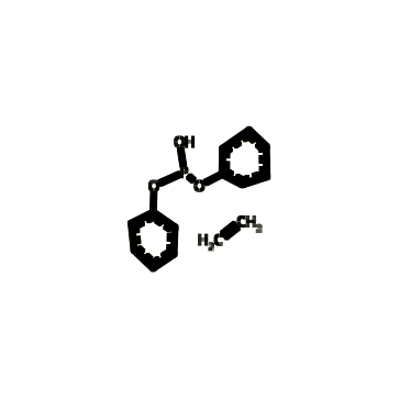 C=C.OP(Oc1ccccc1)Oc1ccccc1